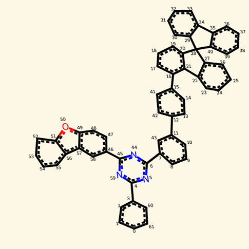 c1ccc(-c2nc(-c3cccc(-c4ccc(-c5cccc6c5-c5ccccc5C65c6ccccc6-c6ccccc65)cc4)c3)nc(-c3ccc4oc5ccccc5c4c3)n2)cc1